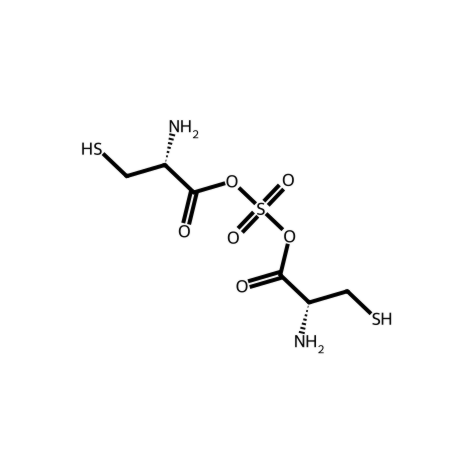 N[C@@H](CS)C(=O)OS(=O)(=O)OC(=O)[C@@H](N)CS